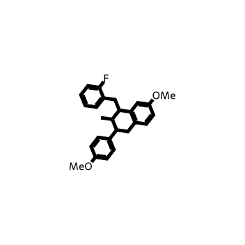 COc1ccc(C2Cc3ccc(OC)cc3C(Cc3ccccc3F)C2C)cc1